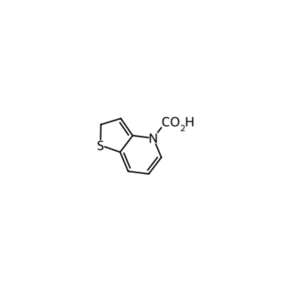 O=C(O)N1C=CC=C2SCC=C21